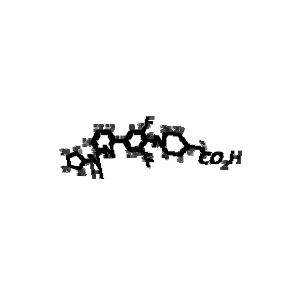 O=C(O)CC1CCN(c2c(F)cc(-c3cccc(NC4CCCC4)n3)cc2F)CC1